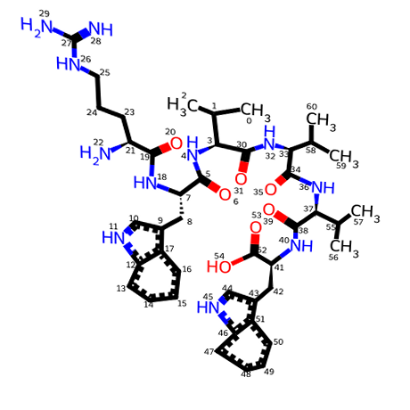 CC(C)[C@H](NC(=O)[C@H](Cc1c[nH]c2ccccc12)NC(=O)[C@@H](N)CCCNC(=N)N)C(=O)N[C@H](C(=O)N[C@H](C(=O)N[C@@H](Cc1c[nH]c2ccccc12)C(=O)O)C(C)C)C(C)C